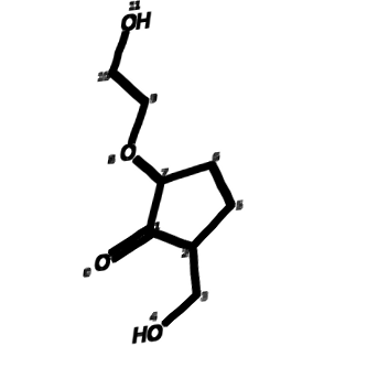 O=C1C(CO)CCC1OCCO